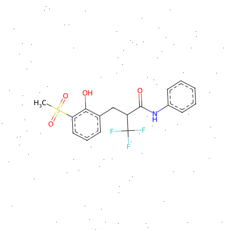 CS(=O)(=O)c1cccc(CC(C(=O)Nc2ccccc2)C(F)(F)F)c1O